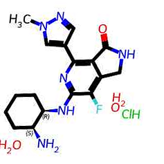 Cl.Cn1cc(-c2nc(N[C@@H]3CCCC[C@@H]3N)c(F)c3c2C(=O)NC3)cn1.O.O